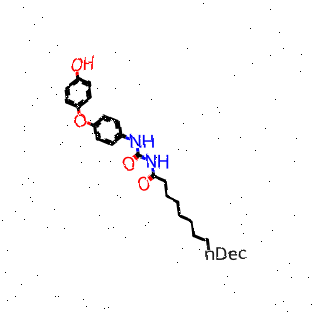 CCCCCCCCCCCCCCCCCC(=O)NC(=O)Nc1ccc(Oc2ccc(O)cc2)cc1